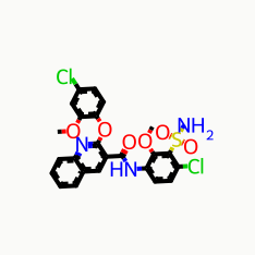 COc1cc(Cl)ccc1Oc1nc2ccccc2cc1C(=O)Nc1ccc(Cl)c(S(N)(=O)=O)c1OC